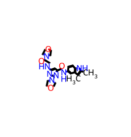 Cc1[nH]c2ccc(NC(=O)c3cc(NCC(=O)N4CCOCC4)nc(N4CCOCC4)n3)cc2c1C